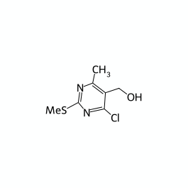 CSc1nc(C)c(CO)c(Cl)n1